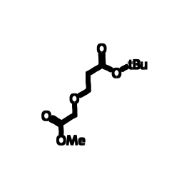 COC(=O)COCCC(=O)OC(C)(C)C